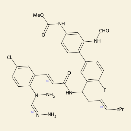 CCC/C=C/CC(NC(=O)/C=C/c1cc(Cl)ccc1N(N)/C=N\N)c1cc(-c2ccc(NC(=O)OC)cc2NC=O)ccc1F